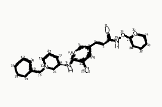 O=C(C=Cc1cnc(N[C@@H]2CCCN(CC3CCCCC3)C2)c(Cl)c1)NOC1CCCCO1